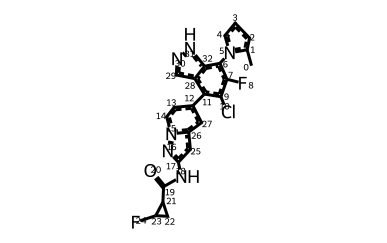 Cc1cccn1-c1c(F)c(Cl)c(-c2ccn3nc(NC(=O)C4CC4F)cc3c2)c2cn[nH]c12